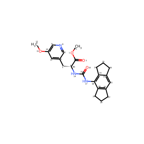 COC(=O)[C@@H](Cc1cncc(OC)c1)NC(=O)Nc1c2c(cc3c1CCC3)CCC2